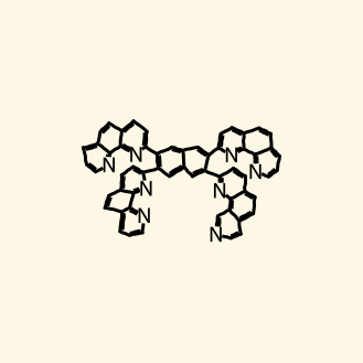 c1cnc2c(c1)ccc1ccc(-c3cc4cc(-c5ccc6ccc7cccnc7c6n5)c(-c5ccc6ccc7cccnc7c6n5)cc4cc3-c3ccc4ccc5ccncc5c4n3)nc12